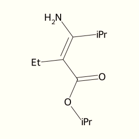 CCC(C(=O)OC(C)C)=C(N)C(C)C